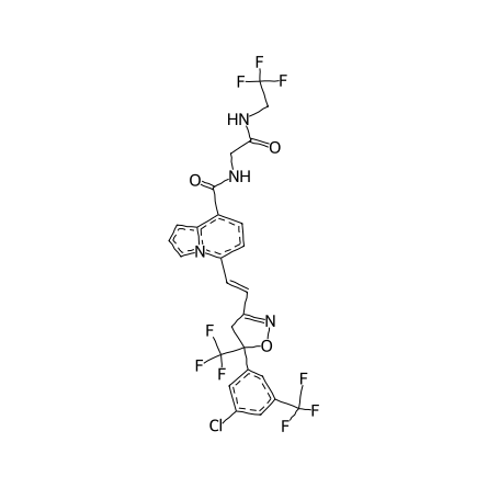 O=C(CNC(=O)c1ccc(C=CC2=NOC(c3cc(Cl)cc(C(F)(F)F)c3)(C(F)(F)F)C2)n2cccc12)NCC(F)(F)F